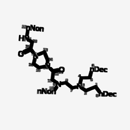 CCCCCCCCCCCCN(CCCCCCCCCCCC)CCN(CCCCCCCCC)CC(=O)N1CCN(C(=O)CNCCCCCCCCC)CC1